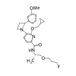 COc1cccc(C2CCN2c2ccc(C(=O)N[C@@H](C)COCCCF)nc2OCC2CC2)c1